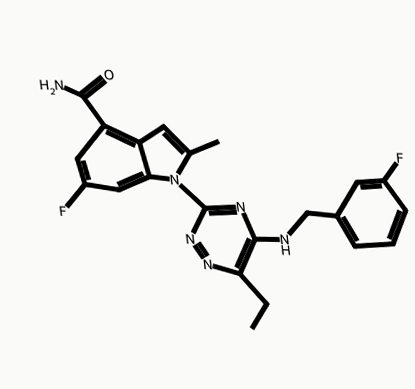 CCc1nnc(-n2c(C)cc3c(C(N)=O)cc(F)cc32)nc1NCc1cccc(F)c1